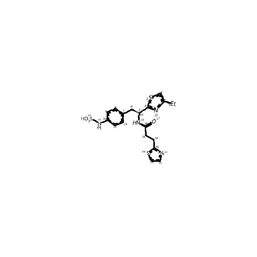 CCc1csc([C@H](Cc2ccc(NS(=O)(=O)O)cc2)NC(=O)CCc2nccs2)n1